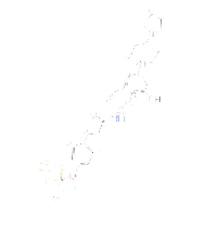 Cc1cc(N2CCC(N3CCCC3)CC2)nc2ccc(NC(=O)CCc3ccc(OC(SF)(SF)SF)cc3)cc12